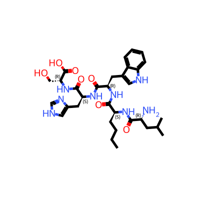 CCCC[C@H](NC(=O)[C@H](N)CC(C)C)C(=O)N[C@H](Cc1c[nH]c2ccccc12)C(=O)N[C@@H](Cc1c[nH]cn1)C(=O)N[C@H](CO)C(=O)O